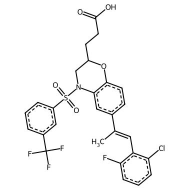 CC(=Cc1c(F)cccc1Cl)c1ccc2c(c1)N(S(=O)(=O)c1cccc(C(F)(F)F)c1)CC(CCC(=O)O)O2